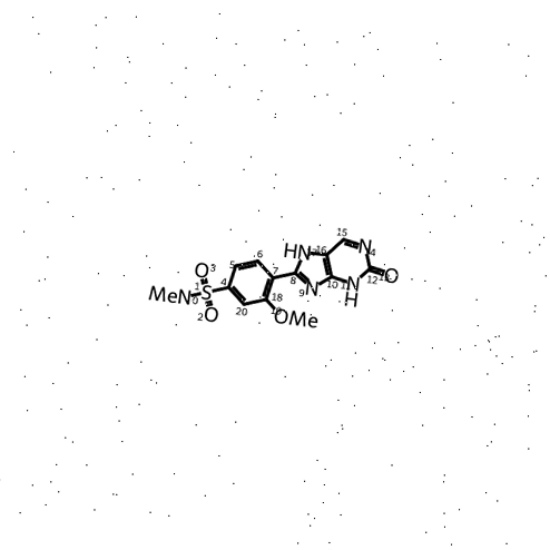 CNS(=O)(=O)c1ccc(-c2nc3[nH]c(=O)ncc3[nH]2)c(OC)c1